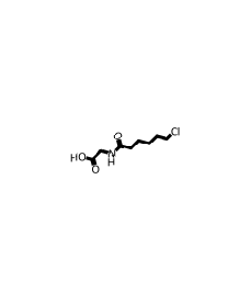 O=C(O)CNC(=O)CCCCCCl